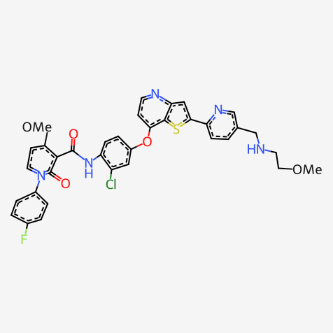 COCCNCc1ccc(-c2cc3nccc(Oc4ccc(NC(=O)c5c(OC)ccn(-c6ccc(F)cc6)c5=O)c(Cl)c4)c3s2)nc1